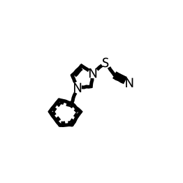 N#CSN1C=CN(c2ccccc2)C1